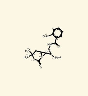 CCCCC[C@@H]1N(NC(=O)c2ccccc2C=O)[C@]12C1CC(C)(C)OC(=O)N12